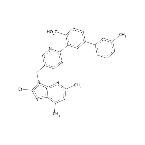 CCc1nc2c(C)cc(C)nc2n1Cc1cnc(-c2cc(-c3cccc(C)c3)ccc2C(=O)O)nc1